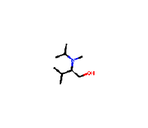 CC(C)[C@H](CO)N(C)C(C)C